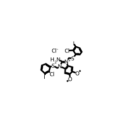 COc1cc2c(cc1OC)[n+](CSc1cccc(I)c1Cl)c(N)n2CSc1cccc(I)c1Cl.[Cl-]